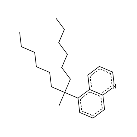 CCCCCCC(C)(CCCCCC)c1cccc2ncccc12